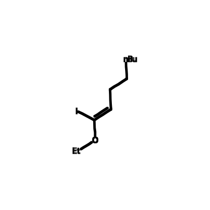 CCCCCCC=C(I)OCC